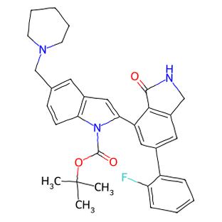 CC(C)(C)OC(=O)n1c(-c2cc(-c3ccccc3F)cc3c2C(=O)NC3)cc2cc(CN3CCCCC3)ccc21